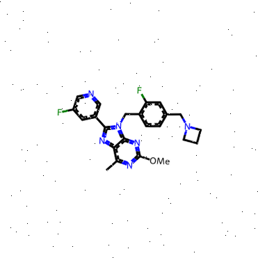 COc1nc(C)c2nc(-c3cncc(F)c3)n(Cc3ccc(CN4CCC4)cc3F)c2n1